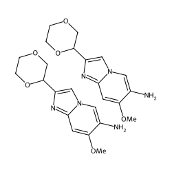 COc1cc2nc(C3COCCO3)cn2cc1N.COc1cc2nc(C3COCCO3)cn2cc1N